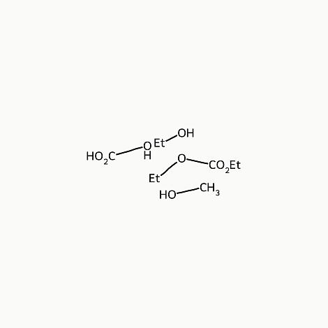 CCO.CCOC(=O)OCC.CO.O=C(O)O